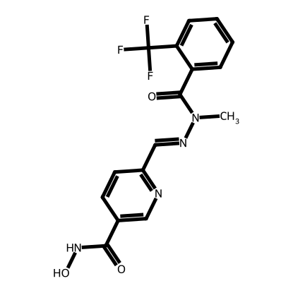 CN(/N=C/c1ccc(C(=O)NO)cn1)C(=O)c1ccccc1C(F)(F)F